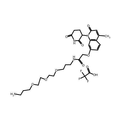 Cc1cc(=O)n(C2CCC(=O)NC2=O)c2cc(OCC(=O)NCCCOCCOCCOCCCN)ccc12.O=C(O)C(F)(F)F